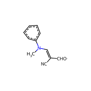 CN(C=C([C]=O)C#N)c1ccccc1